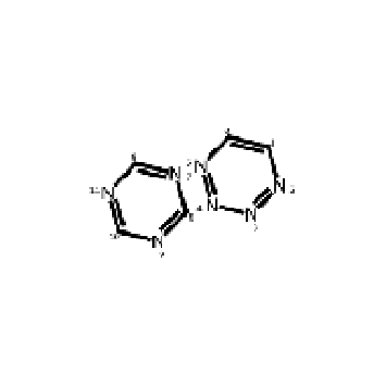 c1cnnnn1.c1ncncn1